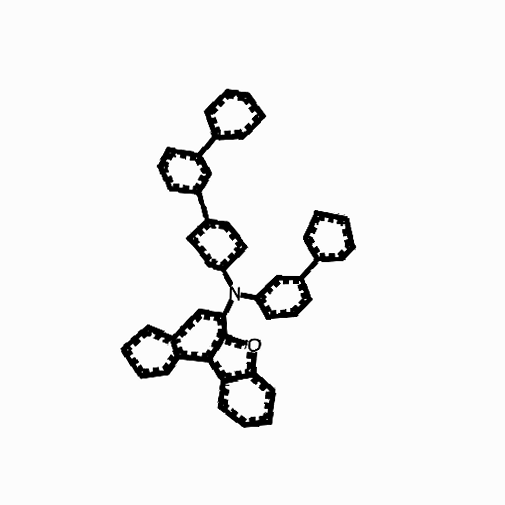 c1ccc(-c2cccc(-c3ccc(N(c4cccc(-c5ccccc5)c4)c4cc5ccccc5c5c4oc4ccccc45)cc3)c2)cc1